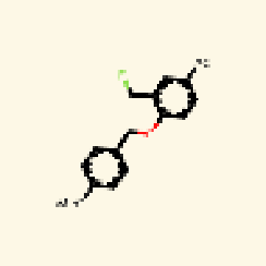 COc1ccc(COc2ccc(C(C)=O)cc2CF)cc1